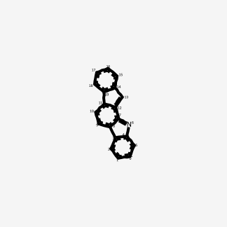 [c]1ccc2c(c1)N=c1c-2ccc2c1=Cc1ccccc1-2